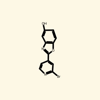 Oc1ccc2oc(-c3ccnc(Br)c3)nc2c1